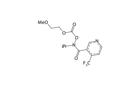 COCCOC(=O)ON(C(=O)c1cnccc1C(F)(F)F)C(C)C